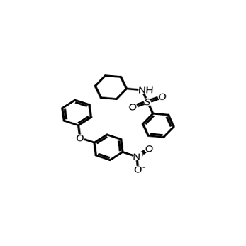 O=S(=O)(NC1CCCCC1)c1ccccc1.O=[N+]([O-])c1ccc(Oc2ccccc2)cc1